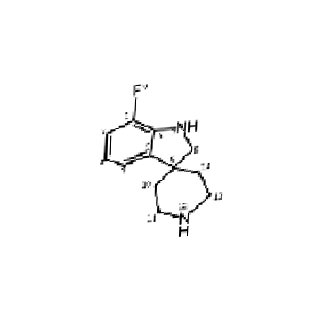 Fc1cccc2c1NCC21CCNCC1